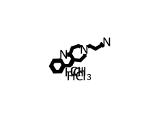 Cc1c2c(nc3ccccc13)CCN(CCC#N)CC2.Cl.Cl